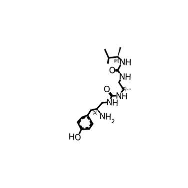 CC(C)[C@@H](C)NC(=O)NC[C@H](C)NC(=O)NC[C@@H](N)Cc1ccc(O)cc1